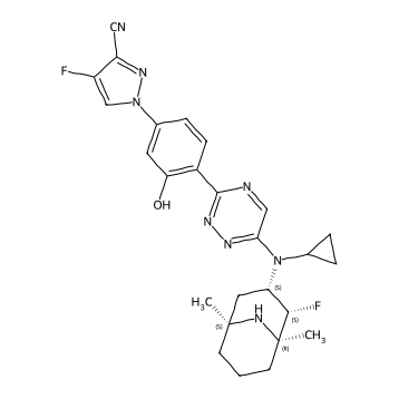 C[C@@]12CCC[C@@](C)(N1)[C@@H](F)[C@@H](N(c1cnc(-c3ccc(-n4cc(F)c(C#N)n4)cc3O)nn1)C1CC1)C2